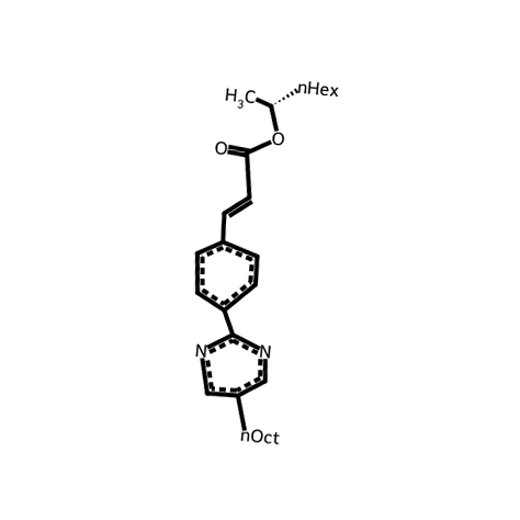 CCCCCCCCc1cnc(-c2ccc(C=CC(=O)O[C@H](C)CCCCCC)cc2)nc1